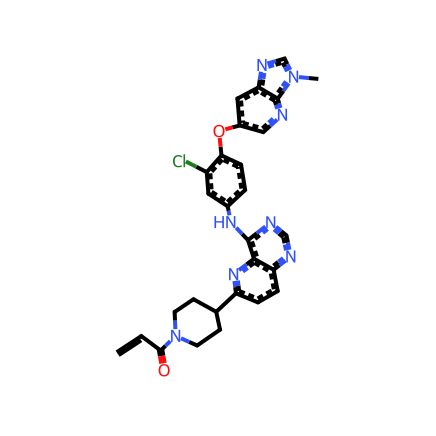 C=CC(=O)N1CCC(c2ccc3ncnc(Nc4ccc(Oc5cnc6c(c5)ncn6C)c(Cl)c4)c3n2)CC1